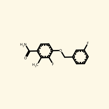 Cc1c(C(N)=O)ccc(OCc2cccc(F)c2)c1F